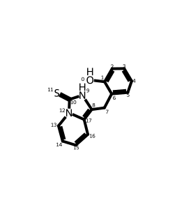 Oc1ccccc1Cc1[nH]c(=S)n2ccccc12